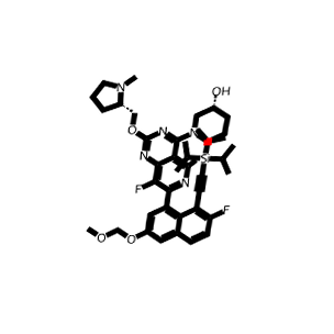 COCOc1cc(-c2nc(C)c3c(N4CCC[C@@H](O)C4)nc(OC[C@@H]4CCCN4C)nc3c2F)c2c(C#C[Si](C(C)C)(C(C)C)C(C)C)c(F)ccc2c1